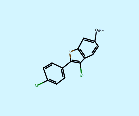 COc1ccc2c(Br)c(-c3ccc(Cl)cc3)sc2c1